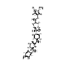 Cc1c(CNC2CCN(S(=O)(=O)c3ccc(Nc4nccc(Nc5ccc(F)cc5)n4)cc3)CC2)cc(C#N)n1C